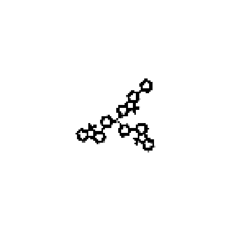 CC1(C)c2cc(-c3ccccc3)ccc2-c2ccc(N(c3cccc(-c4cccc5c4C(C)(C)c4ccccc4-5)c3)c3cccc(-c4cccc5c4C(C)(C)c4ccccc4-5)c3)cc21